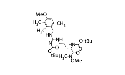 COc1cc(C)c(CN/C(=N/C(=O)OC(C)(C)C)NCCC[C@H](NC(=O)OC(C)(C)C)C(=O)N(C)OC)c(C)c1C